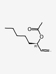 [CH]=C[C@@H](CCCCC)OC(C)=O